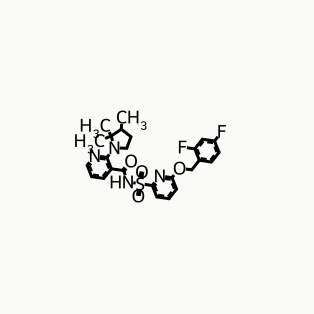 CC1CCN(c2ncccc2C(=O)NS(=O)(=O)c2cccc(OCc3ccc(F)cc3F)n2)C1(C)C